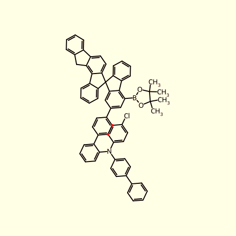 CC1(C)OB(c2cc(-c3ccc(-c4ccccc4N(c4ccc(Cl)cc4)c4ccc(-c5ccccc5)cc4)cc3)cc3c2-c2ccccc2C32c3ccccc3-c3c2ccc2c3Cc3ccccc3-2)OC1(C)C